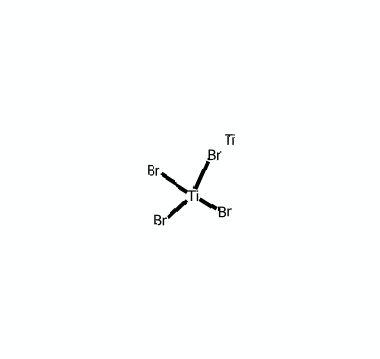 [Br][Ti]([Br])([Br])[Br].[Ti]